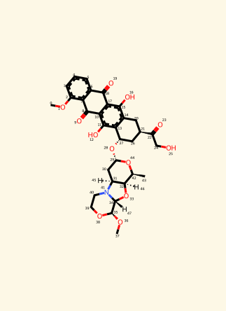 COc1cccc2c1C(=O)c1c(O)c3c(c(O)c1C2=O)C[C@@H](C(=O)CO)C[C@@H]3O[C@H]1C[C@H]2[C@H](O[C@@H]3[C@@H](OC)OCCN32)[C@H](C)O1